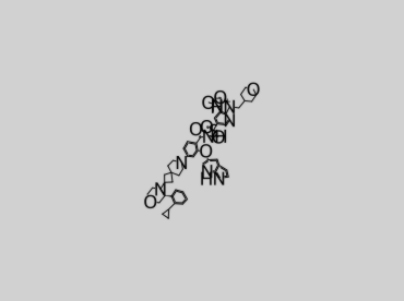 O=C(NS(=O)(=O)c1cnc(NCC2CCOCC2)c([N+](=O)[O-])c1)c1ccc(N2CCC3(CC2)CC(N2CCOC[C@@H]2c2ccccc2C2CC2)C3)cc1Oc1cnc2[nH]ccc2c1